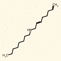 C=CCCCC=CCNCCCCCCCC